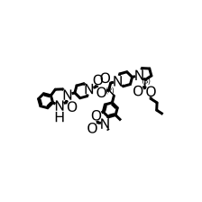 CCCCOC(=O)[C@@H]1CCCN1C1CCN(C(=O)[C@@H](Cc2cc(C)c3c(c2)oc(=O)n3C)OC(=O)N2CCC(N3CCc4ccccc4NC3=O)CC2)CC1